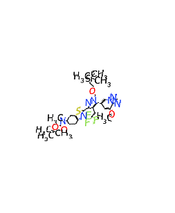 COc1cc(-c2c(CC(F)(F)F)c(-c3nc4c(s3)CC(N(C)C(=O)OC(C)(C)C)CC4)nn2COCC[Si](C)(C)C)cn2ncnc12